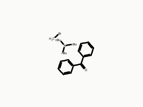 CBr.CCCCN(CCCC)CCCC.O=C(c1ccccc1)c1ccccc1